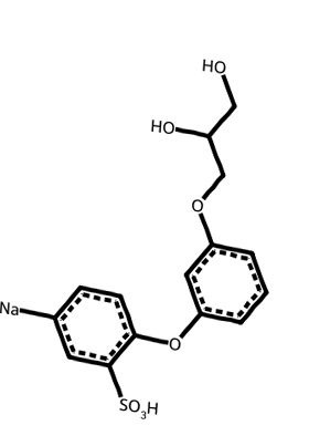 O=S(=O)(O)c1c[c]([Na])ccc1Oc1cccc(OCC(O)CO)c1